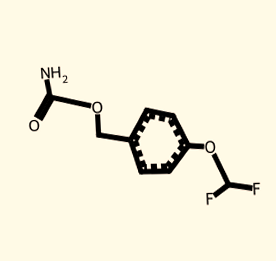 NC(=O)OCc1ccc(OC(F)F)cc1